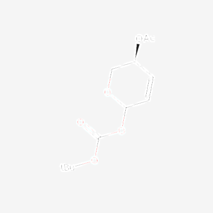 CC(=O)O[C@H]1C=CC(OC(=O)OC(C)(C)C)OC1